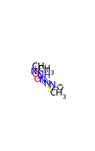 Cc1noc(NC(=O)N2CCN(c3nc(-c4ccccc4)c(C)s3)CC2)c1C